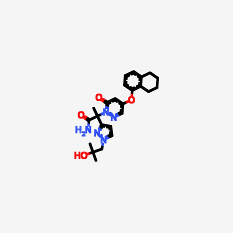 CC(C)(O)Cn1ccc(C(C)(C(N)=O)n2ncc(Oc3cccc4c3CCCC4)cc2=O)n1